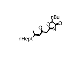 CCCCCCC/C(C)=C/C(=O)CC1=NC(=O)C(CCCC)O1